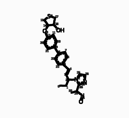 CCC(/C=C/c1ccc(-c2ccc(OC3CSCC3O)cc2)cc1)n1ccnc1C(C)N=O